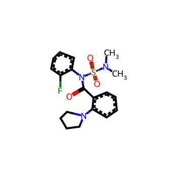 CN(C)S(=O)(=O)N(C(=O)c1ccccc1N1CCCC1)c1ccccc1F